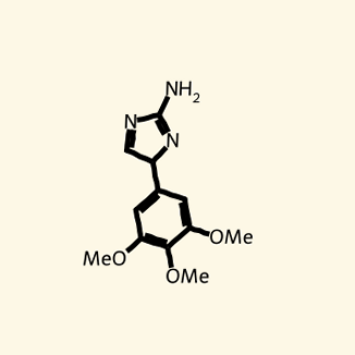 COc1cc(C2C=NC(N)=N2)cc(OC)c1OC